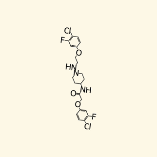 O=C(COc1ccc(Cl)c(F)c1)NC1CCN(NCCOc2ccc(Cl)c(F)c2)CC1